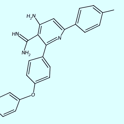 Cc1ccc(-c2cc(N)c(C(=N)N)c(-c3ccc(Oc4ccccc4)cc3)n2)cc1